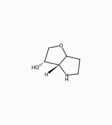 O[C@@H]1COC2CCN[C@@H]21